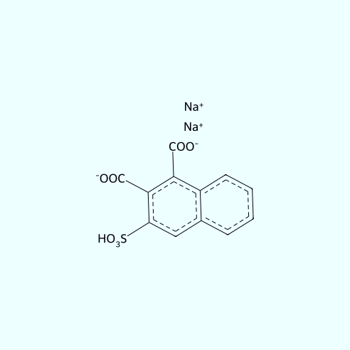 O=C([O-])c1c(S(=O)(=O)O)cc2ccccc2c1C(=O)[O-].[Na+].[Na+]